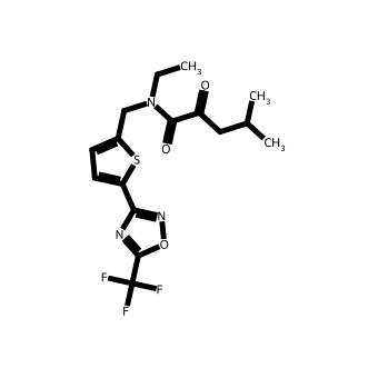 CCN(Cc1ccc(-c2noc(C(F)(F)F)n2)s1)C(=O)C(=O)CC(C)C